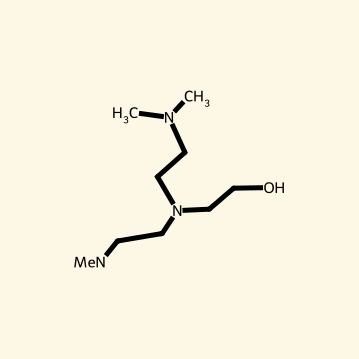 CNCCN(CCO)CCN(C)C